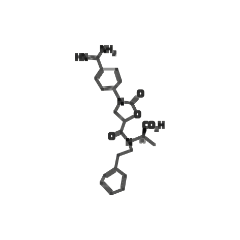 C[C@H](C(=O)O)N(CCc1ccccc1)C(=O)C1CN(c2ccc(C(=N)N)cc2)C(=O)O1